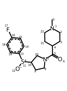 CN1CCC(C(=O)N2CCC([S+]([O-])c3ccc(F)cc3)C2)CC1